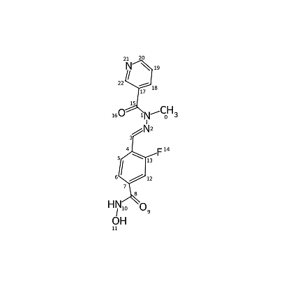 CN(/N=C/c1ccc(C(=O)NO)cc1F)C(=O)c1cccnc1